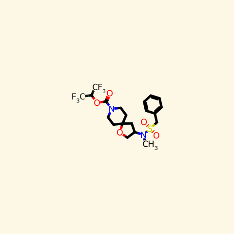 CN(C1COC2(CCN(C(=O)OC(C(F)(F)F)C(F)(F)F)CC2)C1)S(=O)(=O)Cc1ccccc1